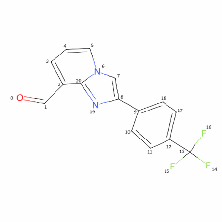 O=Cc1cccn2cc(-c3ccc(C(F)(F)F)cc3)nc12